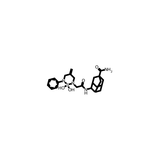 C=C1CN(CC(=O)NC2C3CC4CC2CC(C(N)=O)(C4)C3)S(O)(O)N(c2ccccc2)C1